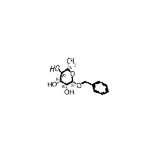 C[C@@H]1O[C@@H](OCc2ccccc2)[C@H](O)[C@H](O)[C@H]1O